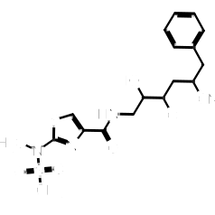 CN(c1nc(C(=O)NCC(O)C(O)CC(C#N)Cc2ccccc2)cs1)S(C)(=O)=O